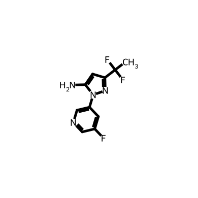 CC(F)(F)c1cc(N)n(-c2cncc(F)c2)n1